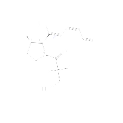 C=C/C=C\C=C(/C)[C@@H]1[C@H](O)CCN1C(=O)C(C)(C)CC